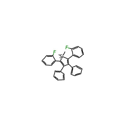 C[Si]1(C)C(c2ccccc2F)=C(c2ccccc2)C(c2ccccc2)=C1c1ccccc1F